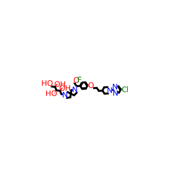 O=CC(c1ccc(OCCCC2CCN(c3ncc(Cl)cn3)CC2)cc1F)N1CCC2(CCN(C[C@H](O)[C@H](O)[C@H](O)CO)C2)C1